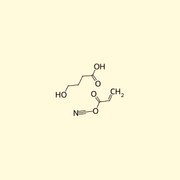 C=CC(=O)OC#N.O=C(O)CCCO